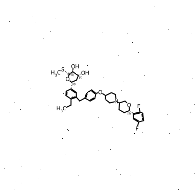 CCc1ccc([C@H]2C[C@@H](O)[C@H](O)[C@@H](SC)O2)cc1Cc1ccc(OC2CCN(C3CC[C@@H](c4cc(F)ccc4F)OC3)CC2)cc1